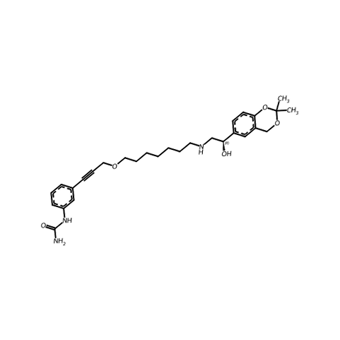 CC1(C)OCc2cc([C@@H](O)CNCCCCCCCOCC#Cc3cccc(NC(N)=O)c3)ccc2O1